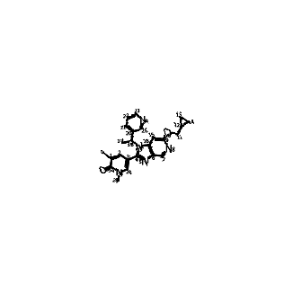 Cc1cc(-c2nc3cnc(OCC4CC4)cc3n2C(C)c2cccnc2)cn(C)c1=O